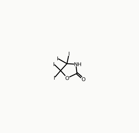 O=C1NC(I)(I)C(I)(I)O1